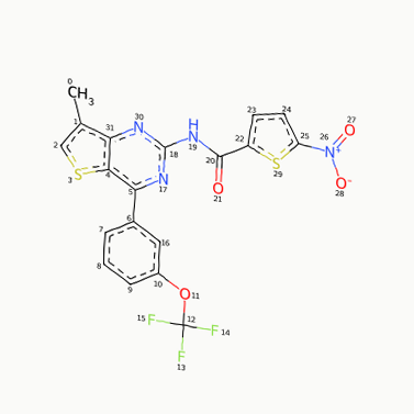 Cc1csc2c(-c3cccc(OC(F)(F)F)c3)nc(NC(=O)c3ccc([N+](=O)[O-])s3)nc12